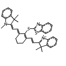 CN1/C(=C/C=C2\CCCC(/C=C/C3=[N+](C)c4ccccc4C3(C)C)=C2Sc2nc3ccccc3s2)C(C)(C)c2ccccc21